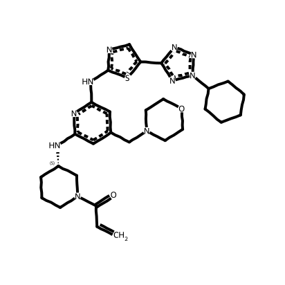 C=CC(=O)N1CCC[C@H](Nc2cc(CN3CCOCC3)cc(Nc3ncc(-c4nnn(C5CCCCC5)n4)s3)n2)C1